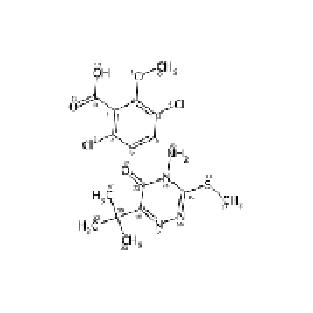 COc1c(Cl)ccc(Cl)c1C(=O)O.CSc1nnc(C(C)(C)C)c(=O)n1N